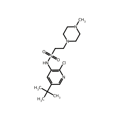 CN1CCN(CCS(=O)(=O)Nc2cc(C(C)(C)C)cnc2Cl)CC1